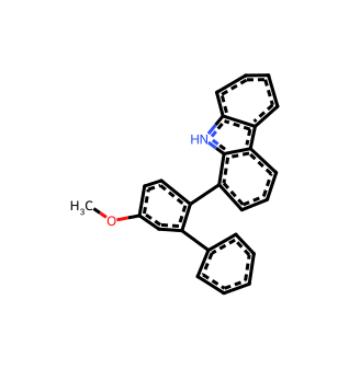 COc1ccc(-c2cccc3c2[nH]c2ccccc23)c(-c2ccccc2)c1